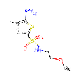 Cc1cc(S(=O)(=O)NCCOC(C)(C)C)sc1N